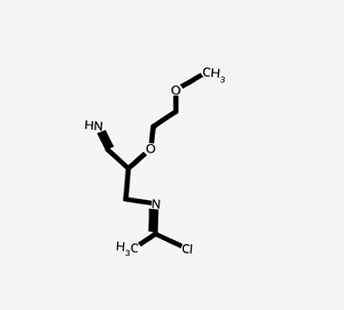 COCCOC(C=N)C/N=C(\C)Cl